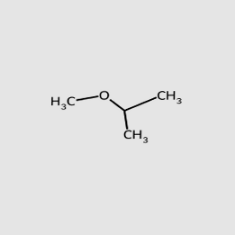 COC(C)C